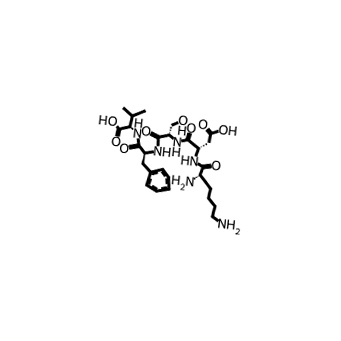 CC(C)[C@H](NC(=O)[C@H](Cc1ccccc1)NC(=O)[C@H](CO)NC(=O)[C@H](CC(=O)O)NC(=O)[C@@H](N)CCCCN)C(=O)O